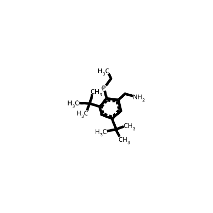 CC[P]c1c(CN)cc(C(C)(C)C)cc1C(C)(C)C